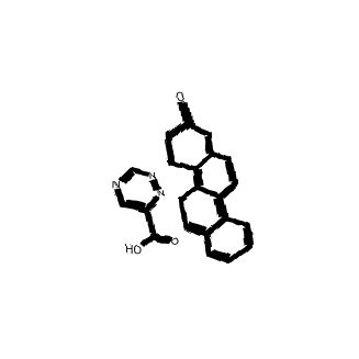 O=C(O)c1cncnn1.O=C1C=c2ccc3c(c2CC1)CC=c1ccccc1=3